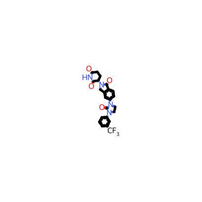 O=C1CCC(N2Cc3cc(N4CCN(c5cccc(C(F)(F)F)c5)C4=O)ccc3C2=O)C(=O)N1